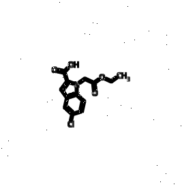 CCOC(=O)Cn1c(C(=O)O)cc2cc(Cl)ccc21